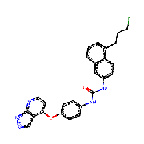 O=C(Nc1ccc(Oc2ccnc3[nH]ncc23)cc1)Nc1ccc2c(CCCF)cccc2c1